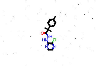 Cc1ccc(C(C)(C)C(=O)NNc2nccnc2Cl)cc1